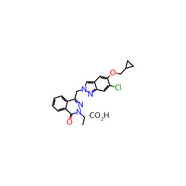 C[C@@H](C(=O)O)n1nc(Cn2cc3cc(OCC4CC4)c(Cl)cc3n2)c2ccccc2c1=O